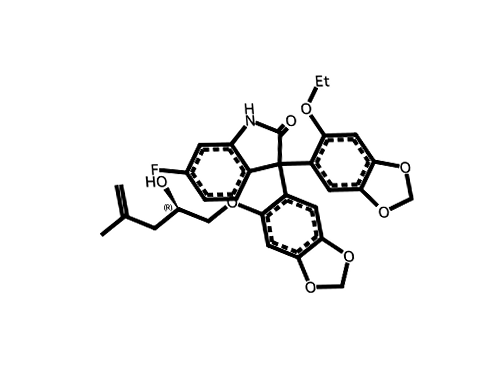 C=C(C)C[C@@H](O)COc1cc2c(cc1C1(c3cc4c(cc3OCC)OCO4)C(=O)Nc3cc(F)ccc31)OCO2